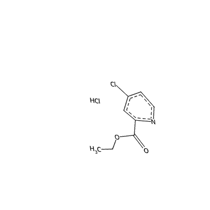 CCOC(=O)c1cc(Cl)ccn1.Cl